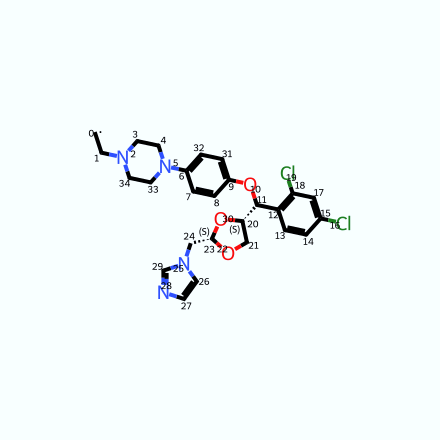 [CH2]CN1CCN(c2ccc(OC(c3ccc(Cl)cc3Cl)[C@@H]3CO[C@H](Cn4ccnc4)O3)cc2)CC1